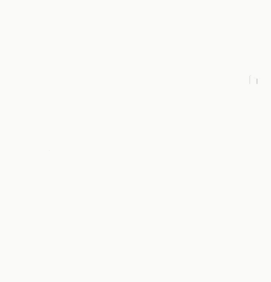 CC=C(C)CCCC(C)CCCC(C)C